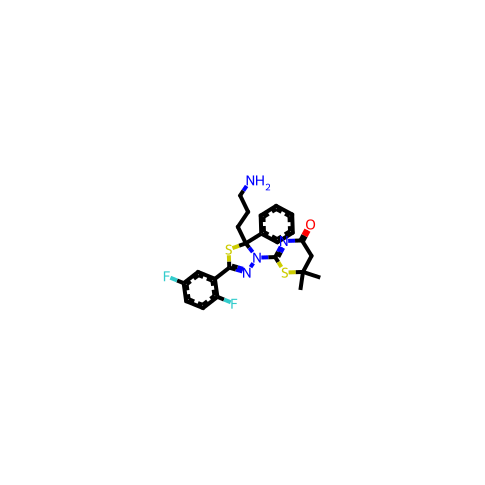 CC1(C)CC(=O)N=C(N2N=C(c3cc(F)ccc3F)SC2(CCCN)c2ccccc2)S1